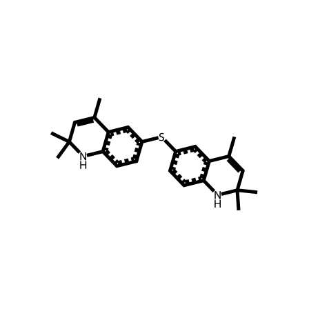 CC1=CC(C)(C)Nc2ccc(Sc3ccc4c(c3)C(C)=CC(C)(C)N4)cc21